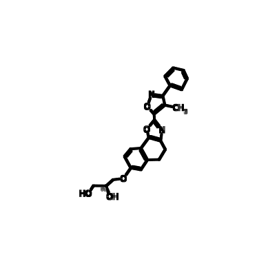 Cc1c(-c2ccccc2)noc1-c1nc2c(o1)-c1ccc(OC[C@@H](O)CO)cc1CC2